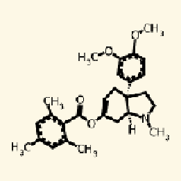 COc1ccc([C@@]23CC=C(OC(=O)c4c(C)cc(C)cc4C)C[C@@H]2N(C)CC3)cc1OC